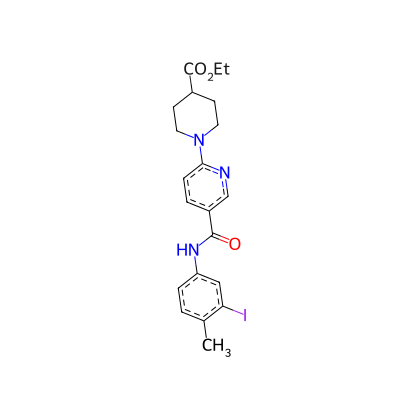 CCOC(=O)C1CCN(c2ccc(C(=O)Nc3ccc(C)c(I)c3)cn2)CC1